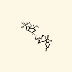 CC(C)(O)c1nc2cc(OCCN3CCC4(CC3)C(=O)Nc3ccc(Cl)cc34)cc(C(F)(F)F)c2[nH]1